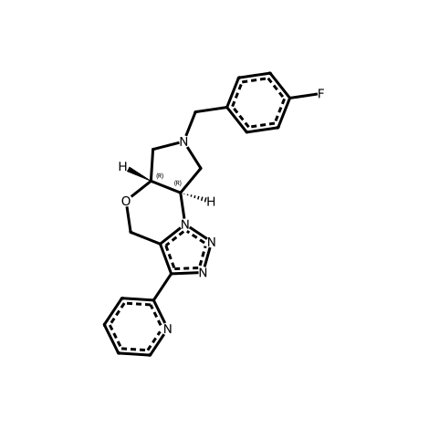 Fc1ccc(CN2C[C@@H]3[C@@H](C2)OCc2c(-c4ccccn4)nnn23)cc1